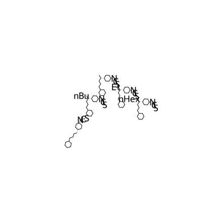 CC(CCCC1CCCCC1)[C@H]1CC[C@H](N=C=S)CC1.CCC(CCCC1CCCCC1)[C@H]1CC[C@H](N=C=S)CC1.CCCCC(CCCC1CCCCC1)[C@H]1CC[C@H](N=C=S)CC1.CCCCCCC(CCCC1CCCCC1)[C@H]1CC[C@H](N=C=S)CC1.S=C=N[C@H]1CC[C@H](CCCCC2CCCCC2)CC1